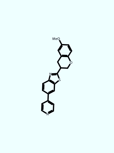 COc1ccc2c(c1)CC(c1nc3ccc(-c4ccncc4)cc3s1)CO2